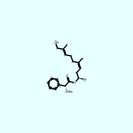 CO[C@@H](C(=O)O[C@@H](C/C=C(/C)CC/C=C(\C)CO)C(C)=O)c1ccccc1